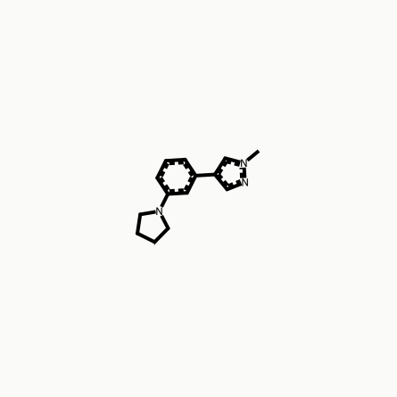 Cn1cc(-c2cccc(N3C[CH]CC3)c2)cn1